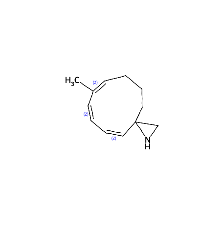 CC1=C/CCCC2(\C=C/C=C\1)CN2